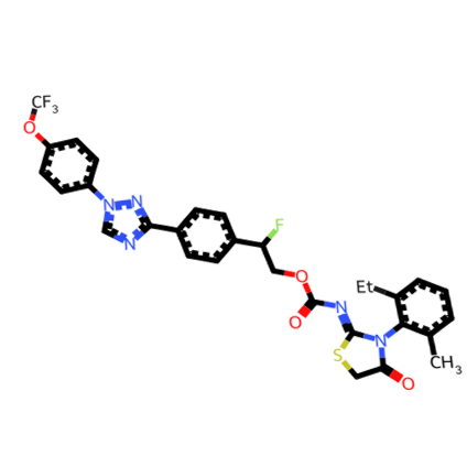 CCc1cccc(C)c1N1C(=O)CS/C1=N\C(=O)OCC(F)c1ccc(-c2ncn(-c3ccc(OC(F)(F)F)cc3)n2)cc1